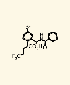 O=C(NC(C(=O)O)c1cc(Br)ccc1CCCC(F)(F)F)c1ccccc1